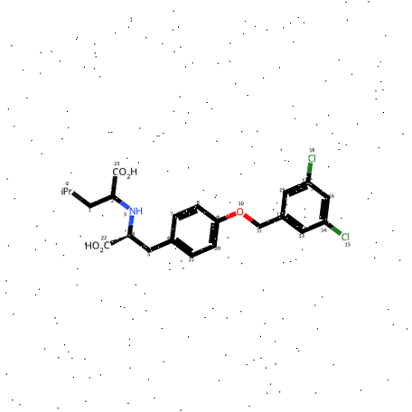 CC(C)CC(N[C@@H](Cc1ccc(OCc2cc(Cl)cc(Cl)c2)cc1)C(=O)O)C(=O)O